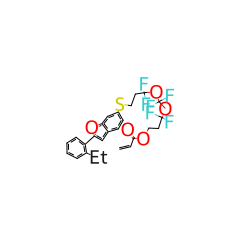 C=CC(=O)OCCC(F)(F)OC(F)(F)OC(F)(F)CCSc1ccc2cc(-c3ccccc3CC)oc2c1